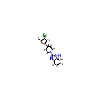 Cc1sc(C2=CCN(c3nc4ccccc4[nH]3)C=C2)cc1Br